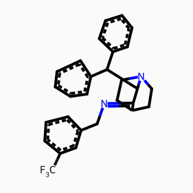 FC(F)(F)c1cccc(CN=C2C3CCN(CC3)C2C(c2ccccc2)c2ccccc2)c1